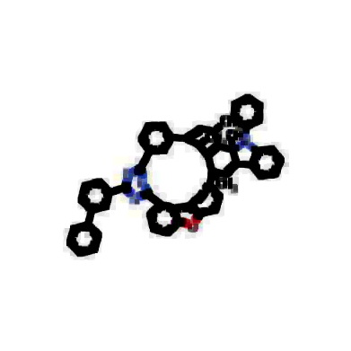 CC1C=C2c3cccc(c3)-c3nc(-c4cccc(-c5ccccc5)c4)nc(n3)-c3cccc4oc5ccc(cc5c34)C3(C)C=C4c5ccccc5N(c5ccccc5)C4(C)C1=C3C2C